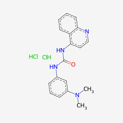 CN(C)c1cccc(NC(=O)Nc2ccnc3ccccc23)c1.Cl.Cl